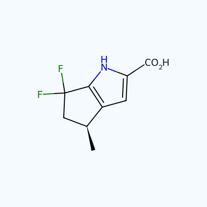 C[C@H]1CC(F)(F)c2[nH]c(C(=O)O)cc21